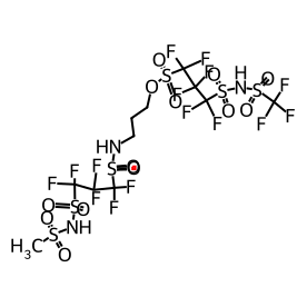 CS(=O)(=O)NS(=O)(=O)C(F)(F)C(F)(F)C(F)(F)S(=O)(=O)NCCCOS(=O)(=O)C(F)(F)C(F)(F)C(F)(F)S(=O)(=O)NS(=O)(=O)C(F)(F)F